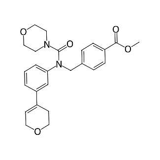 COC(=O)c1ccc(CN(C(=O)N2CCOCC2)c2cccc(C3=CCOCC3)c2)cc1